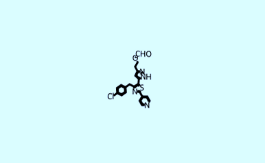 O=COCCc1cc(-c2sc(-c3ccncc3)nc2Cc2ccc(Cl)cc2)[nH]n1